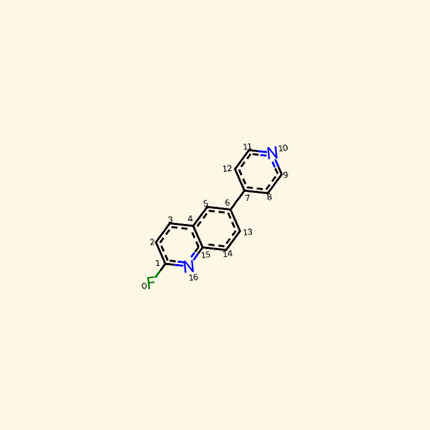 Fc1ccc2cc(-c3ccncc3)ccc2n1